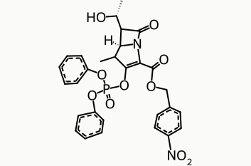 CC1C(OP(=O)(Oc2ccccc2)Oc2ccccc2)=C(C(=O)OCc2ccc([N+](=O)[O-])cc2)N2C(=O)C([C@@H](C)O)[C@H]12